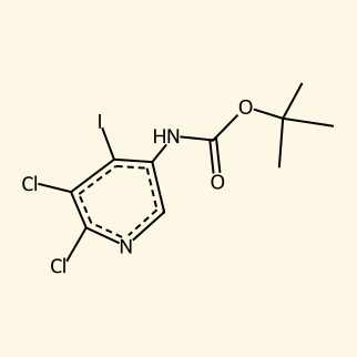 CC(C)(C)OC(=O)Nc1cnc(Cl)c(Cl)c1I